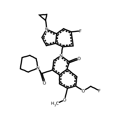 COc1cc2c(C(=O)N3CCCCC3)cn(-c3cc(F)cc4c3ccn4C3CC3)c(=O)c2cc1OCF